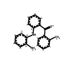 Cc1ccccc1C(=O)c1ccccc1Nc1ncccc1N